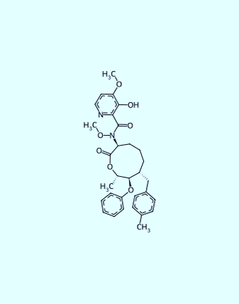 COc1ccnc(C(=O)N(OC)[C@H]2CCC[C@H](Cc3ccc(C)cc3)[C@@H](Oc3ccccc3)[C@H](C)OC2=O)c1O